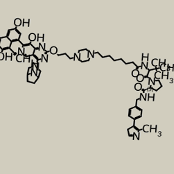 C#Cc1c(O)ccc2cc(O)cc(-c3ncc4c(N5CC6CCC(C5)N6)nc(OCCCN5CCN(CCCCCCCC(=O)NC(C(=O)N6CCC[C@H]6C(=O)NCc6ccc(C7=C(C)N=CC7)cc6)C(C)(C)C)CC5)nc4c3O)c12